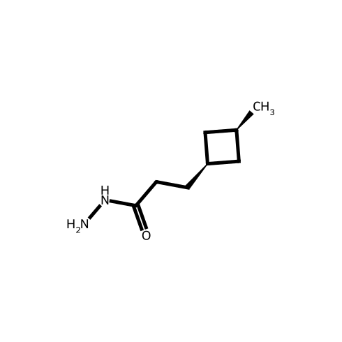 C[C@H]1C[C@@H](CCC(=O)NN)C1